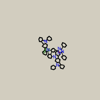 FC(F)(F)c1cccc(-n2c3ccccc3c3cc4c5ccccc5n(-c5ccccc5)c4cc32)c1-c1cc(-c2nc(-c3ccccc3)nc(-c3ccccc3)n2)ccc1-n1c2ccccc2c2cc3c4ccccc4n(-c4ccccc4)c3cc21